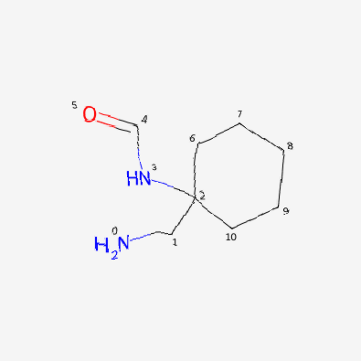 NCC1(NC=O)CCCCC1